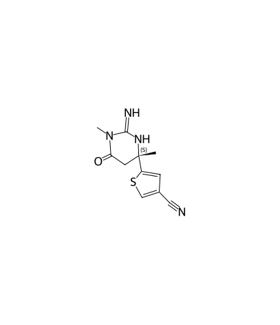 CN1C(=N)N[C@](C)(c2cc(C#N)cs2)CC1=O